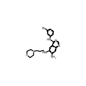 Nc1cc2ncnc(Nc3cccc(Br)c3)c2cc1NCCCN1CCOCC1